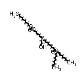 CCCCCCCCCOC(=O)OCCCCCCN(CCCO)CCCCCCCC(=O)OC(CCCCCCCC)CCCCCCCC